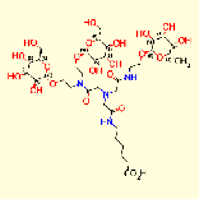 C[C@@H]1O[C@@H](OCCNC(=O)CN(CC(=O)NCCCCCC(=O)O)CC(=O)N(CCO[C@H]2O[C@H](CO)[C@@H](O)[C@H](O)[C@@H]2O)CCO[C@H]2O[C@H](CO)[C@@H](O)[C@H](O)[C@@H]2O)[C@@H](O)[C@H](O)[C@@H]1O